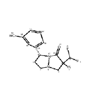 CCC1(C(F)F)CN2CC[C@H](c3cncc(C#N)c3)N2C1=O